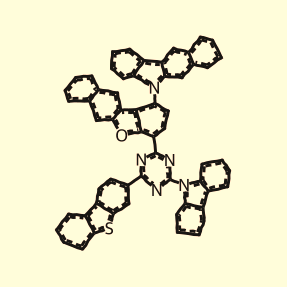 c1ccc2cc3c(cc2c1)oc1c(-c2nc(-c4ccc5c(c4)sc4ccccc45)nc(-n4c5ccccc5c5ccccc54)n2)ccc(-n2c4ccccc4c4cc5ccccc5cc42)c13